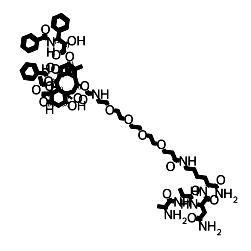 CC(=O)O[C@@]12CO[C@@H]1C[C@H](O)[C@@]1(C)C(=O)[C@H](OC(=O)NCCOCCOCCOCCOCCC(=O)NCCCCC(NC(=O)C(CC(N)=O)NC(=O)C(C)NC(=O)C(C)N)C(N)=O)C3=C(C)[C@@H](OC(=O)[C@H](O)[C@@H](NC(=O)c4ccccc4)c4ccccc4)C[C@@](O)([C@@H](OC(=O)c4ccccc4)[C@H]21)C3(C)C